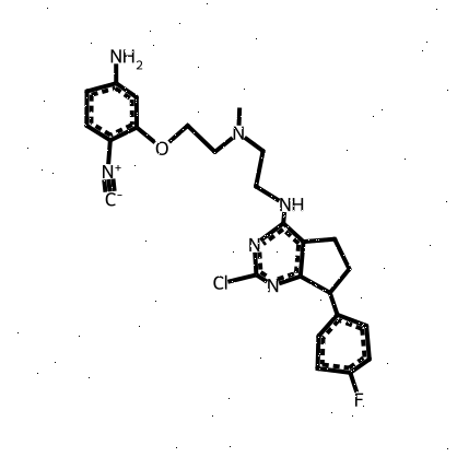 [C-]#[N+]c1ccc(N)cc1OCCN(C)CCNc1nc(Cl)nc2c1CCC2c1ccc(F)cc1